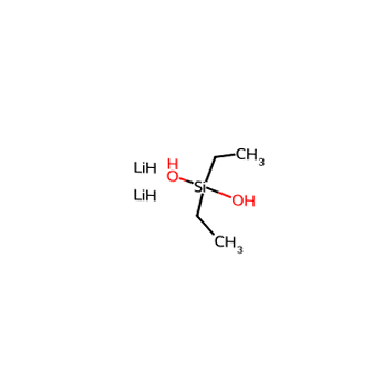 CC[Si](O)(O)CC.[LiH].[LiH]